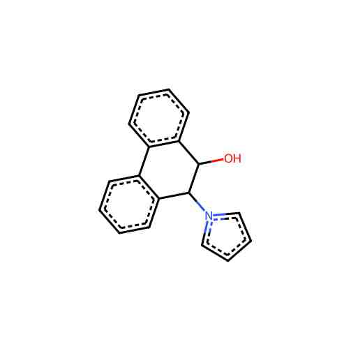 OC1c2ccccc2-c2ccccc2C1n1cccc1